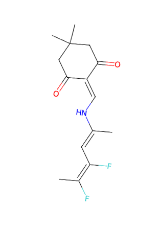 C/C(F)=C(F)\C=C(/C)NC=C1C(=O)CC(C)(C)CC1=O